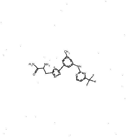 Cc1cc(Nc2nccc(C(F)(F)F)n2)cc(-c2cnc(CC(N)C(N)=O)s2)c1